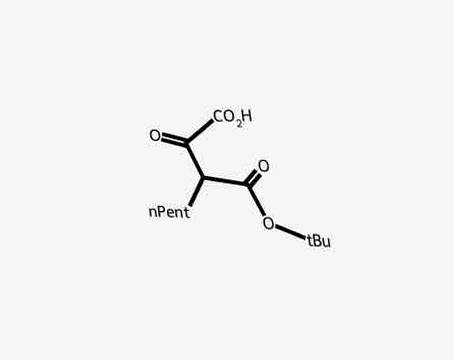 CCCCCC(C(=O)OC(C)(C)C)C(=O)C(=O)O